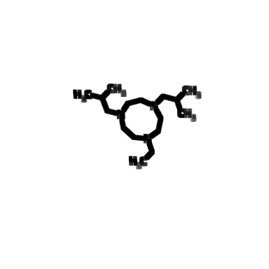 CCN1CCN(CC(C)C)CCN(CC(C)C)CC1